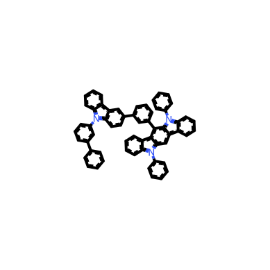 c1ccc(-c2cccc(-n3c4ccccc4c4cc(-c5cccc(-c6c7c8ccccc8n(-c8ccccc8)c7cc7c8ccccc8n(-c8ccccc8)c67)c5)ccc43)c2)cc1